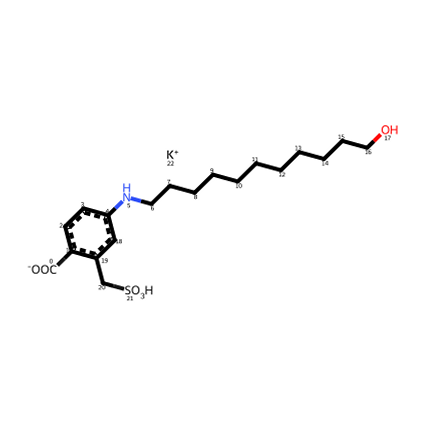 O=C([O-])c1ccc(NCCCCCCCCCCCO)cc1CS(=O)(=O)O.[K+]